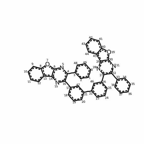 c1ccc(-c2nc3oc4ccccc4c3nc2-c2cccc(-c3cccc(-c4nc5c(nc4-c4ccccc4)oc4ccccc45)c3)c2)cc1